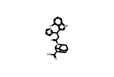 O=C(O)C1C2CC3CC(C2)N(C(=O)CC(c2cccs2)c2c[nH]c4cccc(F)c24)C1C3